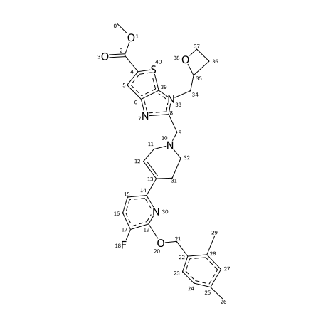 COC(=O)c1cc2nc(CN3CC=C(c4ccc(F)c(OCc5ccc(C)cc5C)n4)CC3)n(CC3CCO3)c2s1